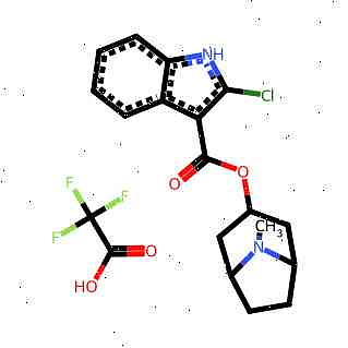 CN1C2CCC1CC(OC(=O)c1c(Cl)[nH]c3ccccc13)C2.O=C(O)C(F)(F)F